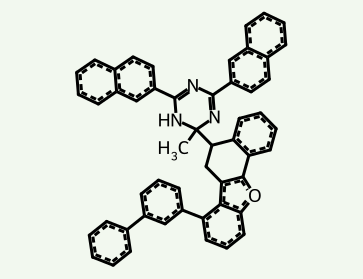 CC1(C2Cc3c(oc4cccc(-c5cccc(-c6ccccc6)c5)c34)-c3ccccc32)N=C(c2ccc3ccccc3c2)N=C(c2ccc3ccccc3c2)N1